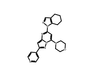 c1cc(-c2cc3nc(-n4ncc5c4CCCC5)cc(N4CCOCC4)n3n2)ccn1